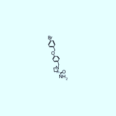 NC(=O)[C@@H]1CCN1Cc1ccc(OCc2ccc(Br)cc2)cc1